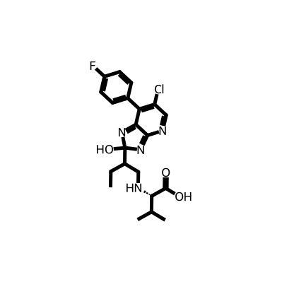 CCC(CN[C@H](C(=O)O)C(C)C)C1(O)N=c2ncc(Cl)c(-c3ccc(F)cc3)c2=N1